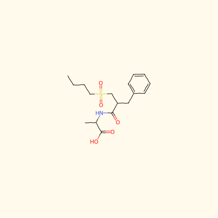 CCCCS(=O)(=O)CC(Cc1ccccc1)C(=O)NC(C)C(=O)O